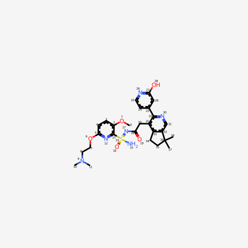 COc1ccc(OCCN(C)C)nc1S(N)(=O)=NC(=O)Cc1c(-c2ccnc(O)c2)ncc2c1CCC2(C)C